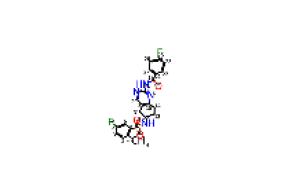 Cc1ccc(F)cc1S(=O)(=O)NC1CCc2nc(NC(=O)c3ccc(F)cc3)ncc2C1